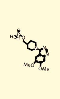 COc1cc2ncnc(N3CCC(CO[PH](=O)O)CC3)c2cc1OC